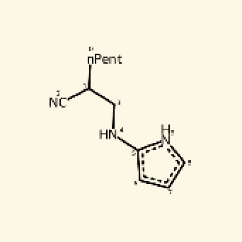 CCCCCC(C#N)CNc1ccc[nH]1